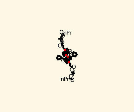 CCCC(=O)OCC(C)(C)COC(=O)/C=C/c1cccc2c(-c3c(P(=O)(c4ccccc4)c4ccccc4)ccc4c(/C=C/C(=O)OCC(C)(C)COC(=O)CCC)cccc34)c(P(=O)(c3ccccc3)c3ccccc3)ccc12